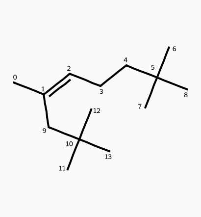 CC(=CCCC(C)(C)C)CC(C)(C)C